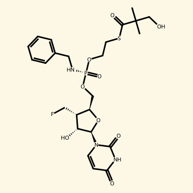 CC(C)(CO)C(=O)SCCO[P@](=O)(NCc1ccccc1)OC[C@H]1O[C@@H](n2ccc(=O)[nH]c2=O)[C@H](O)[C@@H]1CF